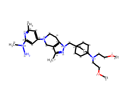 CCOCCN(CCOCC)C12CCC(Cn3nc(C)c4c3CCN(c3cc(C)nc(N(C)N)c3)C4)(CC1)CC2